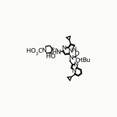 CC(C)(C)OC(=O)N(Cc1cn2c(C3CC3)cccc2n1)c1cc(NC[C@H]2CCN(C(=O)O)C[C@@H]2O)nc2c(C3CC3)cnn12